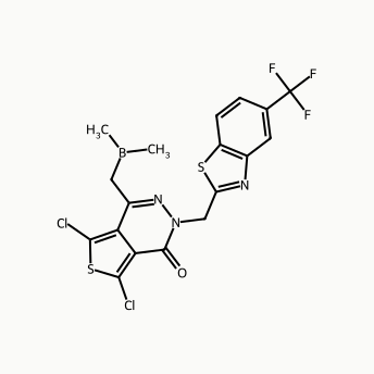 CB(C)Cc1nn(Cc2nc3cc(C(F)(F)F)ccc3s2)c(=O)c2c(Cl)sc(Cl)c12